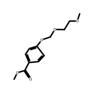 COCCOCOc1ccc(C(=O)OC)cc1